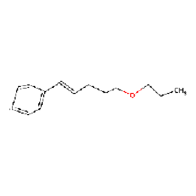 CCCOCCCC=Cc1cc[c]cc1